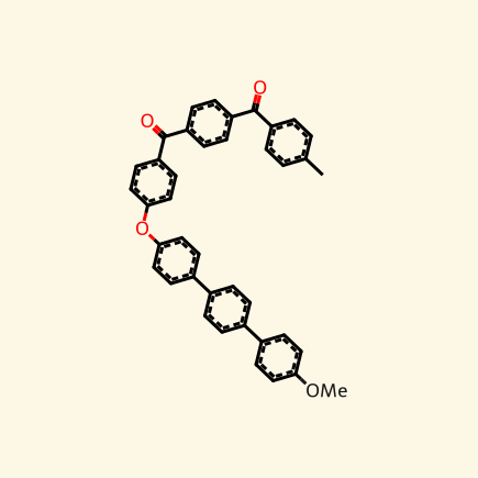 COc1ccc(-c2ccc(-c3ccc(Oc4ccc(C(=O)c5ccc(C(=O)c6ccc(C)cc6)cc5)cc4)cc3)cc2)cc1